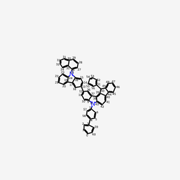 c1ccc(-c2ccc(-n3c4ccc(-c5ccc6c(c5)c5ccccc5n6-c5cccc6ccccc56)cc4c4c5c(ccc43)-c3ccccc3C5c3ccccc3)cc2)cc1